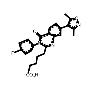 Cc1noc(C)c1-c1ccc2c(=O)n(-c3ccc(F)cc3)c(CCCCC(=O)O)nc2c1